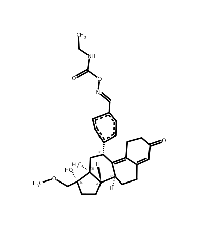 CCNC(=O)O/N=C/c1ccc([C@H]2C[C@@]3(C)[C@@H](CC[C@@]3(O)COC)[C@@H]3CCC4=CC(=O)CCC4=C32)cc1